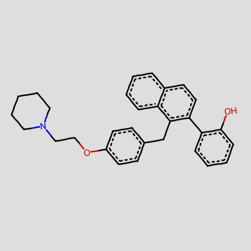 Oc1ccccc1-c1ccc2ccccc2c1Cc1ccc(OCCN2CCCCC2)cc1